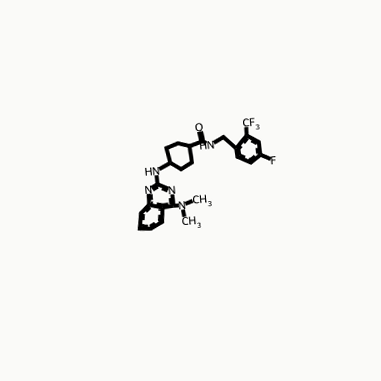 CN(C)c1nc(NC2CCC(C(=O)NCc3ccc(F)cc3C(F)(F)F)CC2)nc2ccccc12